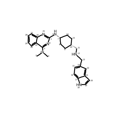 CN(C)c1nc(N[C@H]2CC[C@@H](CNCc3ccc4[nH]ccc4c3)CC2)nc2ccccc12